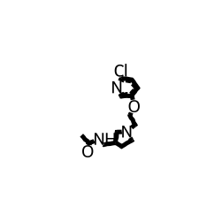 CC(=O)NCC1CCN(CCOc2ccc(Cl)nc2)C1